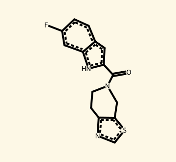 O=C(c1cc2ccc(F)cc2[nH]1)N1CCc2ncsc2C1